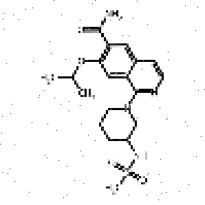 CC(C)Oc1cc2c(N3CCCC(NS(C)(=O)=O)C3)nccc2cc1C(N)=O